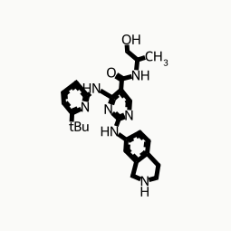 CC(CO)NC(=O)c1cnc(Nc2ccc3c(c2)CNCC3)nc1Nc1cccc(C(C)(C)C)n1